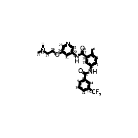 Cc1ccc(NC(=O)c2cccc(C(F)(F)F)c2)cc1C(=O)Nc1cncc(OCCN(C)C)c1